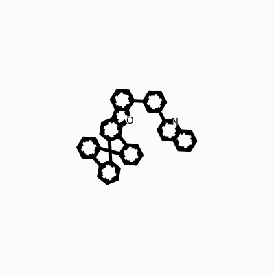 c1cc(-c2ccc3ccccc3n2)cc(-c2cccc3c2oc2c4c(ccc23)C2(c3ccccc3-c3ccccc32)c2ccccc2-4)c1